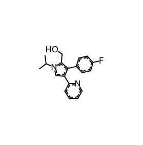 CC(C)n1cc(-c2ccccn2)c(-c2ccc(F)cc2)c1CO